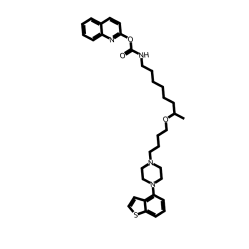 CC(CCCCCCNC(=O)Oc1ccc2ccccc2n1)OCCCCN1CCN(c2cccc3sccc23)CC1